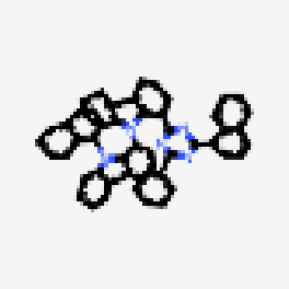 c1ccc(-c2nc(-c3cccc4ccccc34)nc(-c3cccc4c5ccccc5n(-c5cccc6c7ccccc7n(-c7cccc8ccccc78)c56)c34)n2)cc1